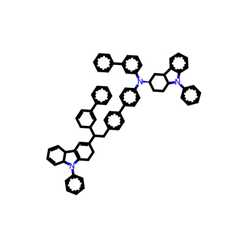 C1=CC2C3=C(CCC(C(Cc4ccc(-c5ccc(N(c6cccc(-c7ccccc7)c6)[C@@H]6CCC7C(C6)c6ccccc6N7c6ccccc6)cc5)cc4)C4C=C(c5ccccc5)C=CC4)=C3)N(c3ccccc3)C2C=C1